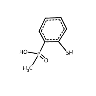 CP(=O)(O)c1ccccc1S